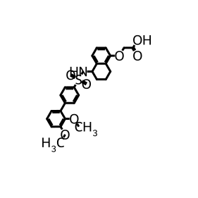 COc1cccc(-c2ccc(S(=O)(=O)NC3CCCc4c(OCC(=O)O)cccc43)cc2)c1OC